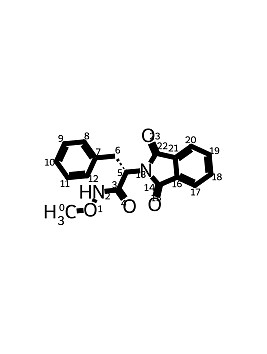 CONC(=O)[C@H](Cc1ccccc1)N1C(=O)c2ccccc2C1=O